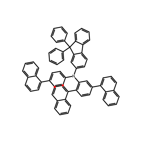 c1ccc(C2(c3ccccc3)c3ccccc3-c3ccc(N(c4ccc(-c5cccc6ccccc56)cc4)c4cc(-c5cccc6ccccc56)ccc4-c4cccc5ccccc45)cc32)cc1